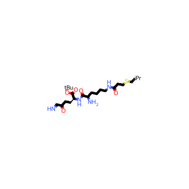 CC(C)CSCCC(=O)NCCCCC(N)C(=O)N[C@@H](CCC(=O)C=N)C(=O)OC(C)(C)C